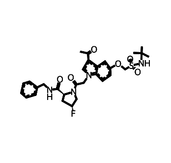 CC(=O)c1cn(CC(=O)N2C[C@H](F)C[C@H]2C(=O)NCc2ccccc2)c2ccc(OCS(=O)(=O)NC(C)(C)C)cc12